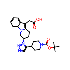 CC(C)(C)OC(=O)N1CCC(c2cnnn2C2CCC3=C(CC(=O)O)C4=CC=CCC4N3C2)CC1